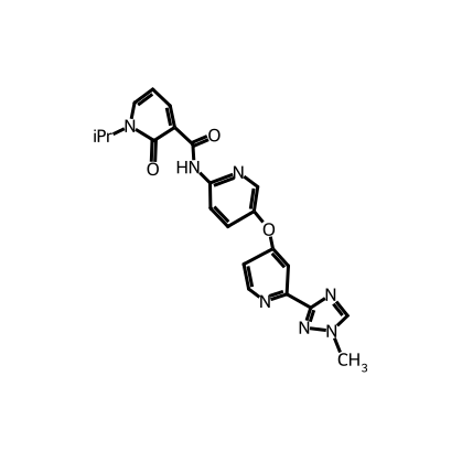 CC(C)n1cccc(C(=O)Nc2ccc(Oc3ccnc(-c4ncn(C)n4)c3)cn2)c1=O